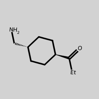 CCC(=O)[C@H]1CC[C@H](CN)CC1